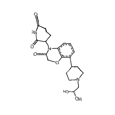 O=C1CCC(N2C(=O)COc3c(C4CCN(CC(O)O)CC4)cccc32)C(=O)N1